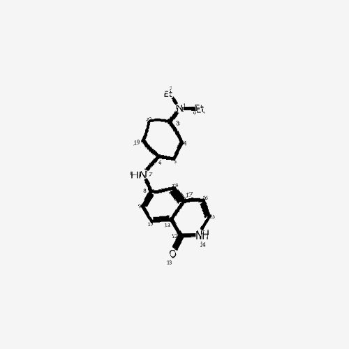 CCN(CC)C1CCC(Nc2ccc3c(=O)[nH]ccc3c2)CC1